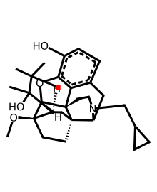 CO[C@]12CC[C@@]3(C[C@@H]1C(C)(O)C(C)(C)C)C1Cc4ccc(O)c5c4[C@@]3(CCN1CC1CC1)[C@H]2O5